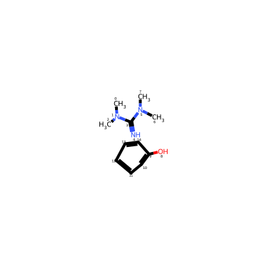 CN(C)C(=N)N(C)C.Oc1ccccc1